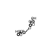 O=C(c1ccc(OCCCCC2CCN(C(=O)[C@](O)(c3ccccc3)C(F)(F)F)CC2)cc1Cl)N1CCC[C@H]1CO